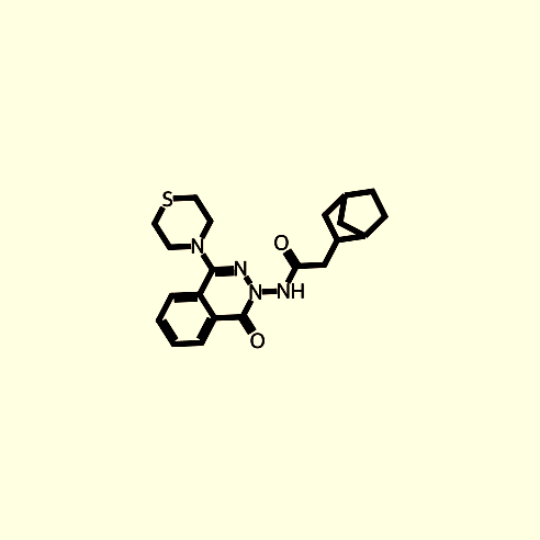 O=C(CC1CC2CCC1C2)Nn1nc(N2CCSCC2)c2ccccc2c1=O